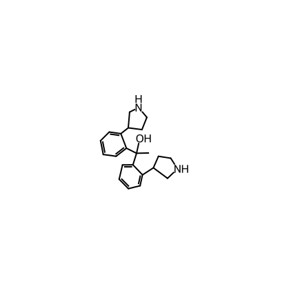 CC(O)(c1ccccc1C1CCNC1)c1ccccc1C1CCNC1